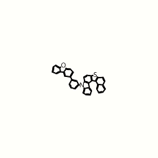 c1cc(-c2ccc3oc4ccccc4c3c2)cc(-n2c3ccccc3c3c4c(ccc32)sc2ccc3ccccc3c24)c1